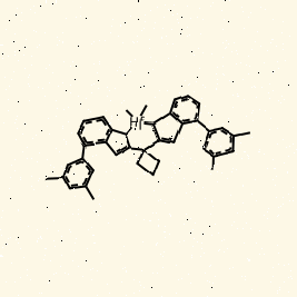 Cc1cc(C)cc(-c2cccc3c2C=C2[CH]3[Hf]([CH3])([CH3])[CH]3C(=Cc4c(-c5cc(C)cc(C)c5)cccc43)C23CCC3)c1